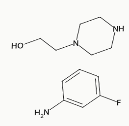 Nc1cccc(F)c1.OCCN1CCNCC1